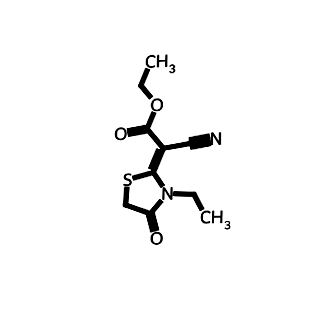 CCOC(=O)C(C#N)=C1SCC(=O)N1CC